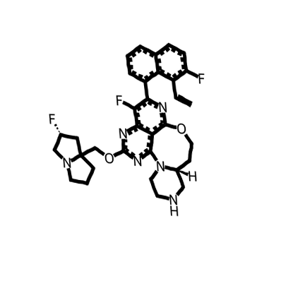 C=Cc1c(F)ccc2cccc(-c3nc4c5c(nc(OCC67CCCN6C[C@H](F)C7)nc5c3F)N3CCNC[C@H]3CCO4)c12